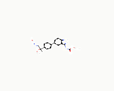 CC(C)(C)OC(=O)Nc1n[nH]c2ccc(-c3ccc(C(C)(CN=C=O)OC(C)(C)C)cc3)cc12